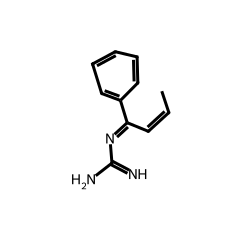 C/C=C\C(=N/C(=N)N)c1ccccc1